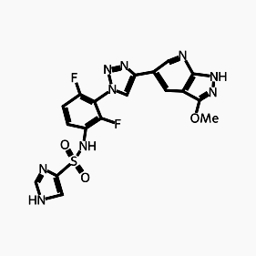 COc1n[nH]c2ncc(-c3cn(-c4c(F)ccc(NS(=O)(=O)c5c[nH]cn5)c4F)nn3)cc12